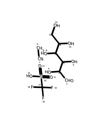 CC#N.O=CC(O)C(O)C(O)C(O)CO.O=S(=O)(O)C(F)(F)F